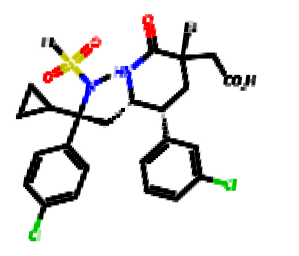 CC[C@@]1(CC(=O)O)C[C@H](c2cccc(Cl)c2)[C@H](C[C@@](c2ccc(Cl)cc2)(C2CC2)N(C)S(=O)(=O)CC)NC1=O